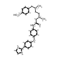 CN(CCN(C)Cc1ccc(C(=O)O)cc1)CC(=O)Nc1ccc(Oc2ccc(-c3ncco3)cc2)cc1